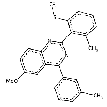 COc1ccc2nc(-c3c(C)cccc3SC(F)(F)F)nc(-c3cccc(C)c3)c2c1